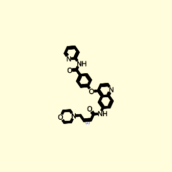 O=C(/C=C\CN1CCOCC1)Nc1ccc2nccc(Oc3ccc(C(=O)Nc4ccccn4)cc3)c2c1